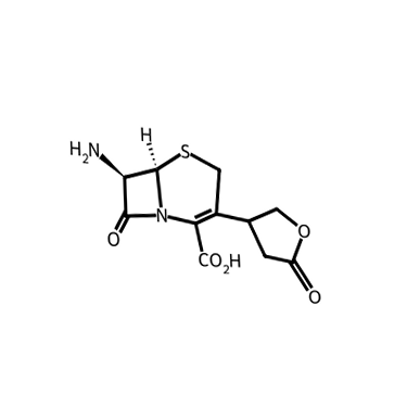 N[C@@H]1C(=O)N2C(C(=O)O)=C(C3COC(=O)C3)CS[C@H]12